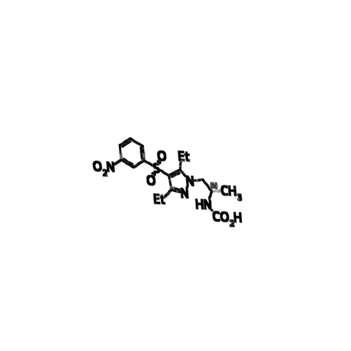 CCc1nn(C[C@H](C)NC(=O)O)c(CC)c1S(=O)(=O)c1cccc([N+](=O)[O-])c1